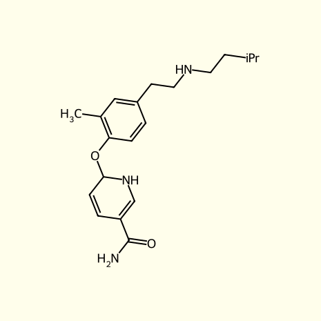 Cc1cc(CCNCCC(C)C)ccc1OC1C=CC(C(N)=O)=CN1